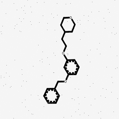 c1ccc(COc2cccc(OCCC3CCOCC3)c2)cc1